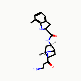 Cc1cccc2c1NC(C(=O)N[C@@H]1C[C@H]3CCC1CN3C(=O)CCN)C2